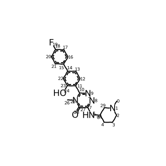 CN1CCC[C@@H](Nc2nnc(-c3ccc(-c4ccc(F)cc4)cc3O)n(C)c2=O)C1